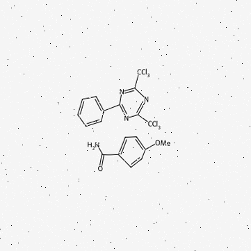 COc1ccc(C(N)=O)cc1.ClC(Cl)(Cl)c1nc(-c2ccccc2)nc(C(Cl)(Cl)Cl)n1